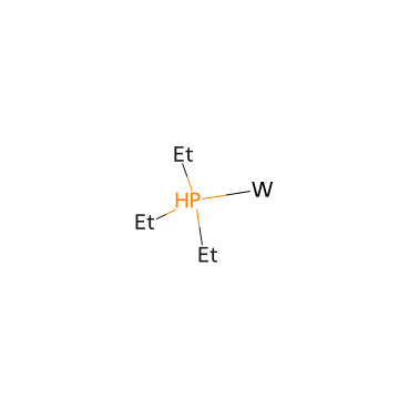 CC[PH]([W])(CC)CC